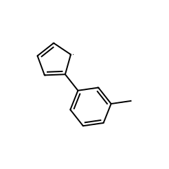 Cc1cccc(C2=CC=C[CH]2)c1